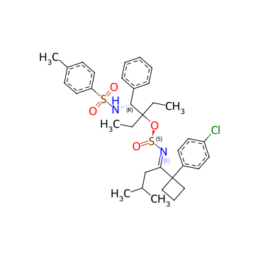 CCC(CC)(O[S@](=O)/N=C(\CC(C)C)C1(c2ccc(Cl)cc2)CCC1)[C@H](NS(=O)(=O)c1ccc(C)cc1)c1ccccc1